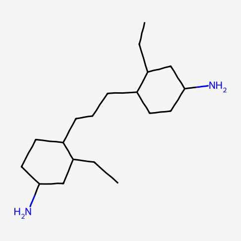 CCC1CC(N)CCC1CCCC1CCC(N)CC1CC